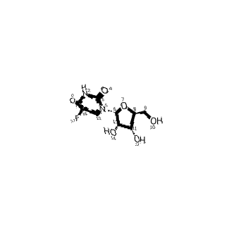 O=c1[nH]c(=O)n([C@@H]2O[C@@H](CO)[C@H](O)[C@@H]2O)cc1F